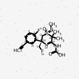 C#Cc1ccc(F)c([C@]2(CF)CS(=O)(=NC)C(C)(C)C(NC(=O)O)=N2)c1